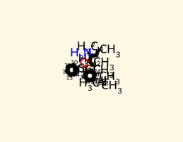 CC(C)C[C@H](N)C(O[SiH](c1ccccc1)c1ccccc1)C(C)(C)C.[CH3][Al]([CH3])[CH3]